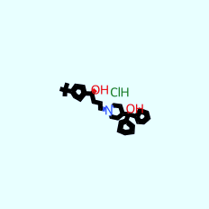 CC(C)(C)c1ccc(C(O)CCCN2CCC(C(O)(c3ccccc3)c3ccccc3)CC2)cc1.Cl